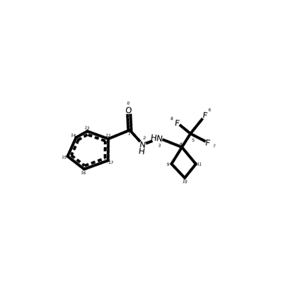 O=C(NNC1(C(F)(F)F)CCC1)c1ccccc1